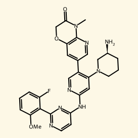 COc1cccc(F)c1-c1nccc(Nc2cc(N3CCC[C@H](N)C3)c(-c3cnc4c(c3)OCC(=O)N4C)cn2)n1